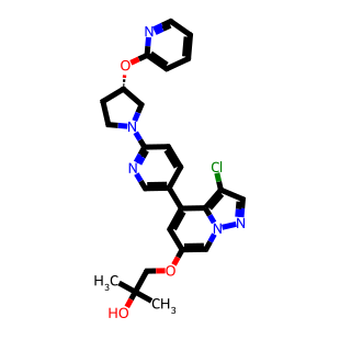 CC(C)(O)COc1cc(-c2ccc(N3CC[C@H](Oc4ccccn4)C3)nc2)c2c(Cl)cnn2c1